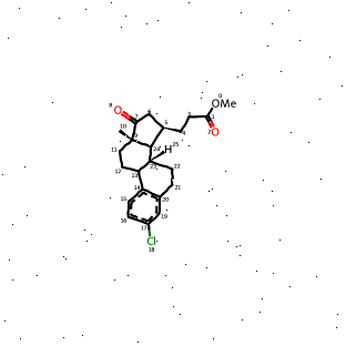 COC(=O)CC[C@@H]1CC(=O)[C@@]2(C)CCC3c4ccc(Cl)cc4CC[C@H]3C12